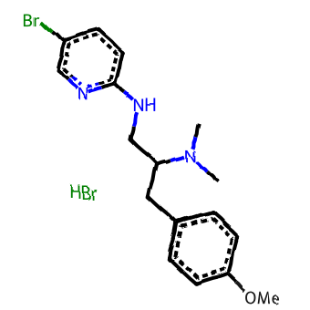 Br.COc1ccc(CC(CNc2ccc(Br)cn2)N(C)C)cc1